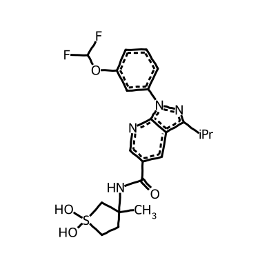 CC(C)c1nn(-c2cccc(OC(F)F)c2)c2ncc(C(=O)NC3(C)CCS(O)(O)C3)cc12